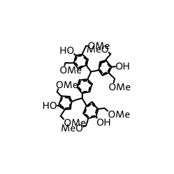 COCc1cc(C(c2ccc(C(c3cc(COC)c(O)c(COC)c3)c3cc(COC)c(O)c(COC)c3)cc2)c2cc(COC)c(O)c(COC)c2)cc(COC)c1O